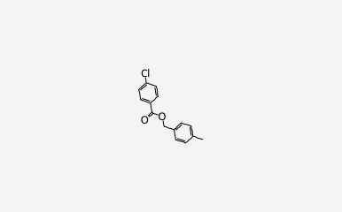 Cc1ccc(COC(=O)c2ccc(Cl)cc2)cc1